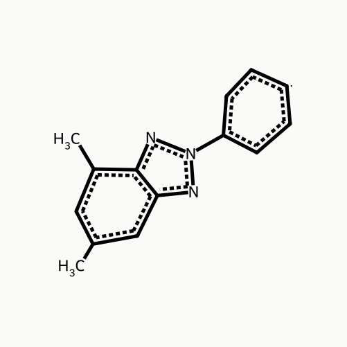 Cc1cc(C)c2nn(-c3cc[c]cc3)nc2c1